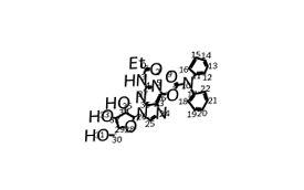 CCC(=O)Nc1nc(OC(=O)N(c2ccccc2)c2ccccc2)c2ncn([C@@H]3O[C@H](CO)[C@@H](O)[C@H]3O)c2n1